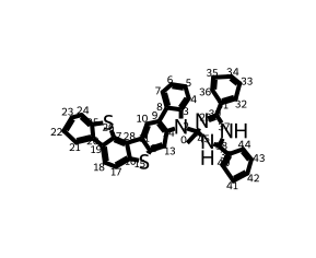 CC1(n2c3ccccc3c3cc4c(cc32)sc2ccc3c5ccccc5sc3c24)N=C(c2ccccc2)NC(c2ccccc2)N1